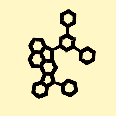 c1ccc(-c2nc(-c3ccccc3)nc(-n3c4cccc5ccc6c7c8ccccc8n(-c8ccccc8)c7cc3c6c54)n2)cc1